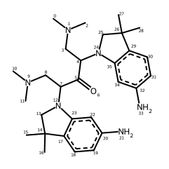 CN(C)CC(C(=O)C(CN(C)C)N1CC(C)(C)c2ccc(N)cc21)N1CC(C)(C)c2ccc(N)cc21